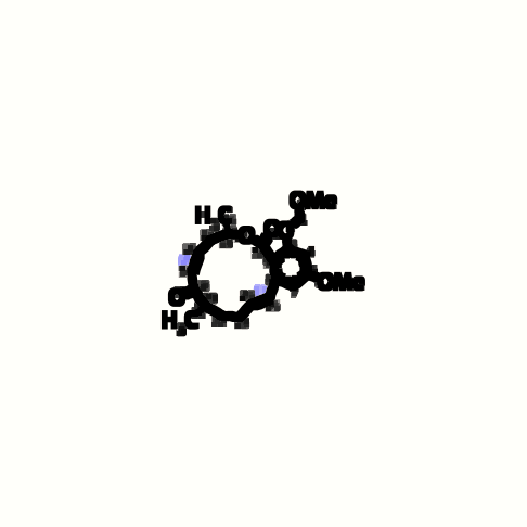 COCOc1cc(OC)cc2c1C(=O)O[C@@H](C)C/C=C\C(=O)[C@@H](C)CC/C=C/2